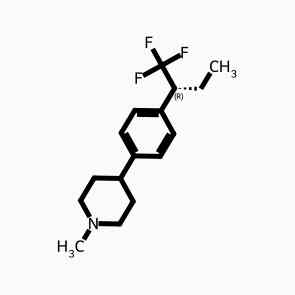 CC[C@H](c1ccc(C2CCN(C)CC2)cc1)C(F)(F)F